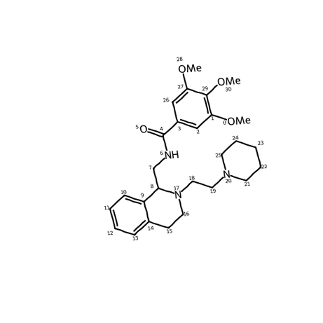 COc1cc(C(=O)NCC2c3ccccc3CCN2CCN2CCCCC2)cc(OC)c1OC